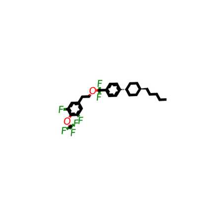 CCCCC[C@H]1CC[C@H](c2ccc(C(F)(F)OCCc3cc(F)c(OC(F)(F)F)c(F)c3)cc2)CC1